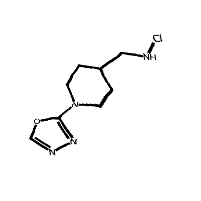 ClNCC1CCN(c2nnco2)CC1